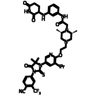 CC(C)c1cc(N2C(=S)N(c3ccc(C#N)c(C(F)(F)F)c3)C(=O)C2(C)C)cnc1OCCN1C[C@@H](C)N(CC(=O)Nc2cccc(NC3CCC(=O)NC3=O)c2)[C@@H](C)C1